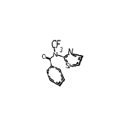 O=C(c1ccccc1)N(c1nccs1)C(F)(F)F